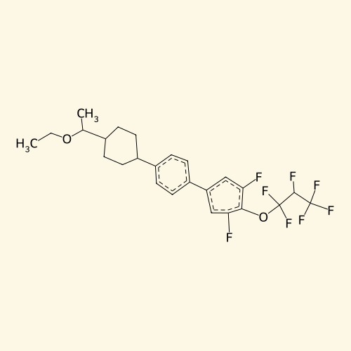 CCOC(C)C1CCC(c2ccc(-c3cc(F)c(OC(F)(F)C(F)C(F)(F)F)c(F)c3)cc2)CC1